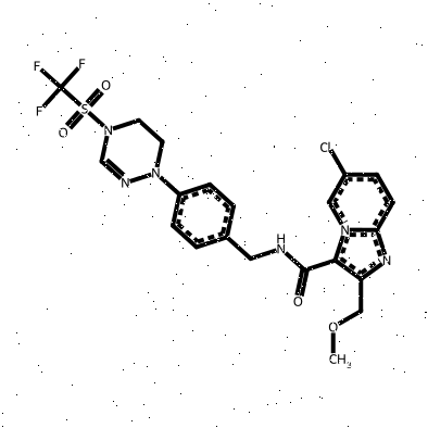 COCc1nc2ccc(Cl)cn2c1C(=O)NCc1ccc(N2CCN(S(=O)(=O)C(F)(F)F)C=N2)cc1